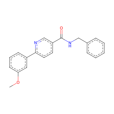 COc1cccc(-c2ccc(C(=O)NCc3ccccc3)cn2)c1